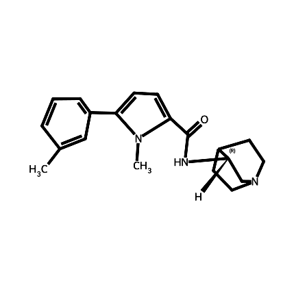 Cc1cccc(-c2ccc(C(=O)N[C@H]3CN4CCC3CC4)n2C)c1